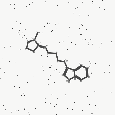 CN1CCCC1=NCCCSc1c[nH]c2ccccc12